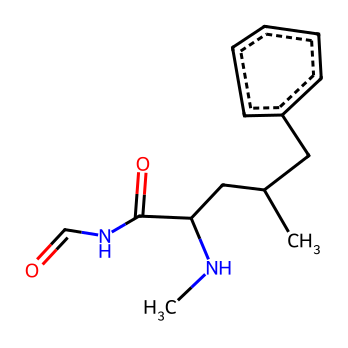 CNC(CC(C)Cc1ccccc1)C(=O)NC=O